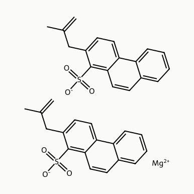 C=C(C)Cc1ccc2c(ccc3ccccc32)c1S(=O)(=O)[O-].C=C(C)Cc1ccc2c(ccc3ccccc32)c1S(=O)(=O)[O-].[Mg+2]